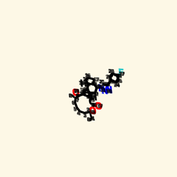 CC[C@H]1CCCC[C@@H](C)C(=O)C2=CC3[C@@H]4CCCC4[C@H](n4cc(-c5ccc(F)cc5)nn4)C[C@H]3[C@@H]2CC(=O)O1